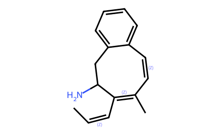 C\C=C/C1=C(C)/C=C\c2ccccc2CC1N